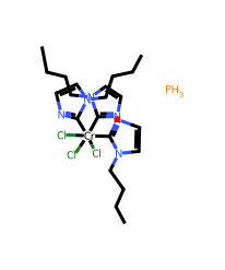 CCCCn1ccn[c]1[Cr]([Cl])([Cl])([Cl])([c]1nccn1CCCC)[c]1nccn1CCCC.P